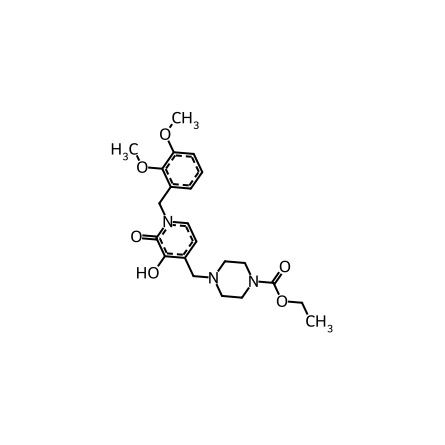 CCOC(=O)N1CCN(Cc2ccn(Cc3cccc(OC)c3OC)c(=O)c2O)CC1